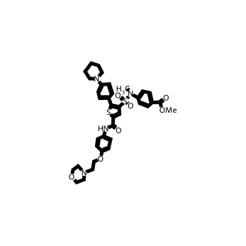 COC(=O)c1ccc(N(C)S(=O)(=O)c2cc(C(=O)Nc3ccc(OCCN4CCOCC4)cc3)sc2-c2ccc(N3CCCCC3)cc2)cc1